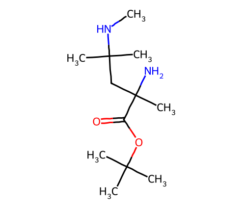 CNC(C)(C)CC(C)(N)C(=O)OC(C)(C)C